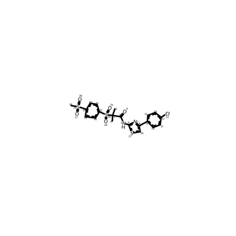 CC(C)(C(=O)Nc1nc(-c2ccc(Cl)cc2)cs1)S(=O)(=O)c1ccc(S(C)(=O)=O)cc1